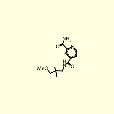 COCC(C)(C)CNC(=O)c1[c]c(C(N)=O)ncc1